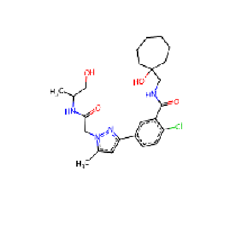 Cc1cc(-c2ccc(Cl)c(C(=O)NCC3(O)CCCCCC3)c2)nn1CC(=O)NC(C)CO